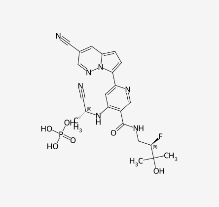 C[C@H](C#N)Nc1cc(-c2ccc3cc(C#N)cnn23)ncc1C(=O)NC[C@@H](F)C(C)(C)O.O=P(O)(O)O